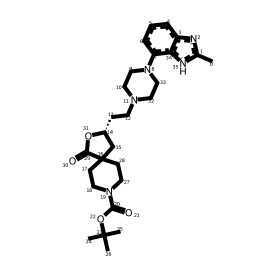 Cc1nc2cccc(N3CCN(CC[C@@H]4CC5(CCN(C(=O)OC(C)(C)C)CC5)C(=O)O4)CC3)c2[nH]1